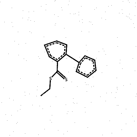 CCSC(=S)c1ccccc1-c1ccccc1